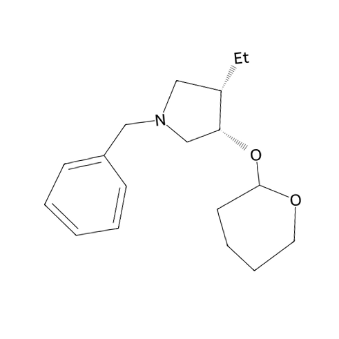 CC[C@H]1CN(Cc2ccccc2)C[C@H]1OC1CCCCO1